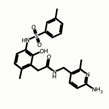 Cc1cccc(S(=O)(=O)Nc2ccc(C)c(CC(=O)NCc3ccc(N)nc3C)c2O)c1